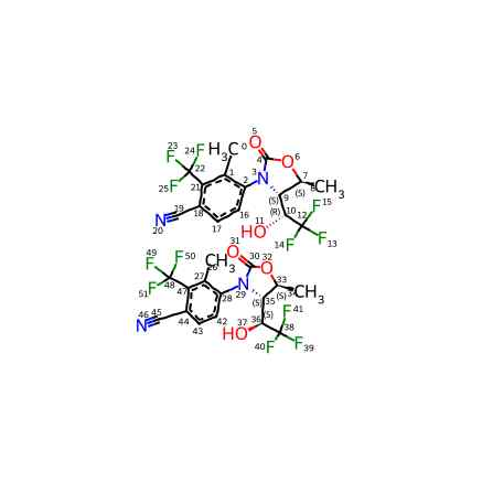 Cc1c(N2C(=O)O[C@@H](C)[C@@H]2[C@@H](O)C(F)(F)F)ccc(C#N)c1C(F)(F)F.Cc1c(N2C(=O)O[C@@H](C)[C@@H]2[C@H](O)C(F)(F)F)ccc(C#N)c1C(F)(F)F